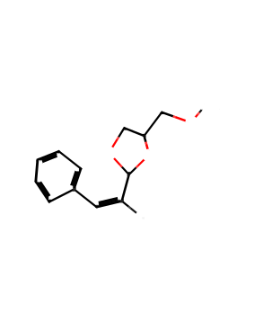 CCCC/C(=C/c1ccccc1)C1OCC(COS(=O)(=O)O)O1